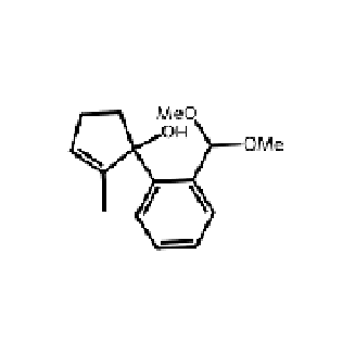 COC(OC)c1ccccc1C1(O)CCC=C1C